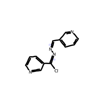 Cl/C(=N/N=C\c1cccnc1)c1cccnc1